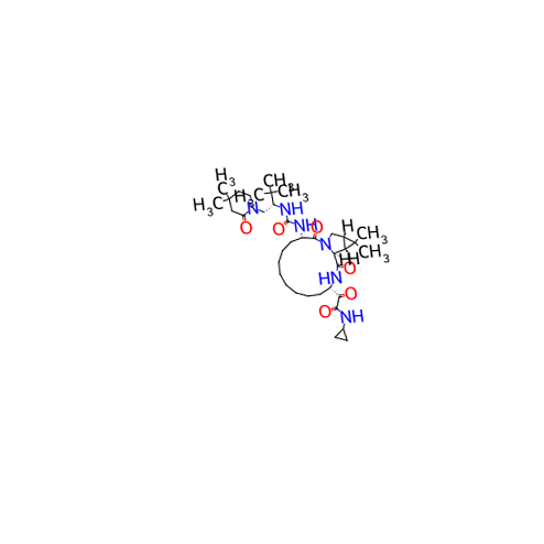 CC1(C)CCN(C[C@@H](NC(=O)N[C@H]2CCCCCCCC[C@@H](C(=O)C(=O)NC3CC3)NC(=O)[C@@H]3[C@@H]4[C@H](CN3C2=O)C4(C)C)C(C)(C)C)C(=O)C1